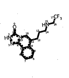 O=c1[nH]nc2c3ccccc3c(CCCNCC(F)(F)F)cn12